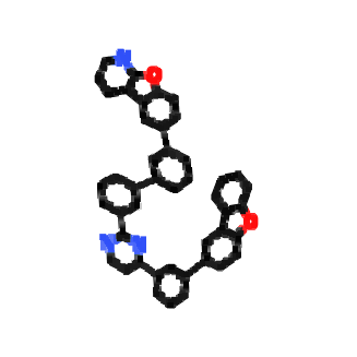 c1cc(-c2cccc(-c3nccc(-c4cccc(-c5ccc6oc7ccccc7c6c5)c4)n3)c2)cc(-c2ccc3oc4ncccc4c3c2)c1